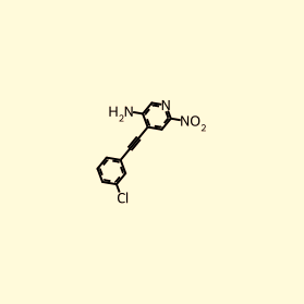 Nc1cnc([N+](=O)[O-])cc1C#Cc1cccc(Cl)c1